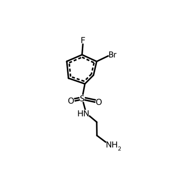 NCCNS(=O)(=O)c1ccc(F)c(Br)c1